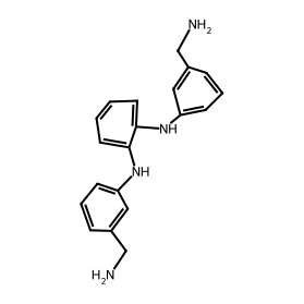 NCc1cccc(Nc2ccccc2Nc2cccc(CN)c2)c1